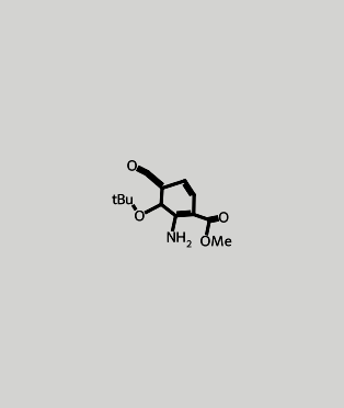 COC(=O)C1=C(N)C(OC(C)(C)C)C(=C=O)C=C1